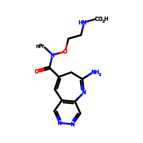 CCCN(OCCNC(=O)O)C(=O)C1=Cc2cnncc2N=C(N)C1